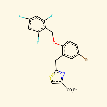 CCOC(=O)c1csc(Cc2cc(Br)ccc2OCc2c(F)cc(F)cc2F)n1